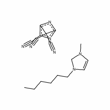 CCCCCCN1C=CN(C)C1.N#Cc1[nH]c2nc1C2(C#N)C#N